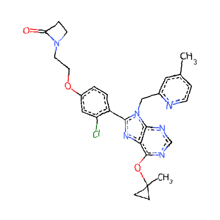 Cc1ccnc(Cn2c(-c3ccc(OCCN4CCC4=O)cc3Cl)nc3c(OC4(C)CC4)ncnc32)c1